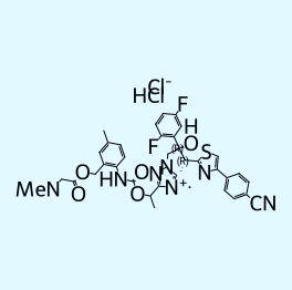 CNCC(=O)OCc1cc(C)ccc1NC(=O)OC(C)C1=NN(C[C@](O)(c2cc(F)ccc2F)[C@@H](C)c2nc(-c3ccc(C#N)cc3)cs2)C=[N+]1.Cl.[Cl-]